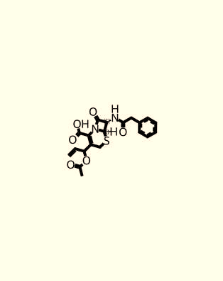 C=CC(OC(C)=O)C1=C(C(=O)O)N2C(=O)[C@H](NC(=O)Cc3ccccc3)[C@H]2SC1